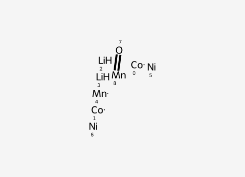 [Co].[Co].[LiH].[LiH].[Mn].[Ni].[Ni].[O]=[Mn]